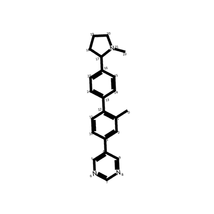 Cc1cc(-c2cncnc2)ccc1-c1ccc(C2CCCN2C)cc1